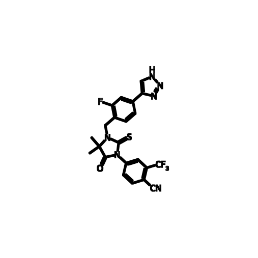 CC1(C)C(=O)N(c2ccc(C#N)c(C(F)(F)F)c2)C(=S)N1Cc1ccc(-c2c[nH]nn2)cc1F